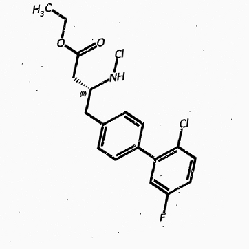 CCOC(=O)C[C@@H](Cc1ccc(-c2cc(F)ccc2Cl)cc1)NCl